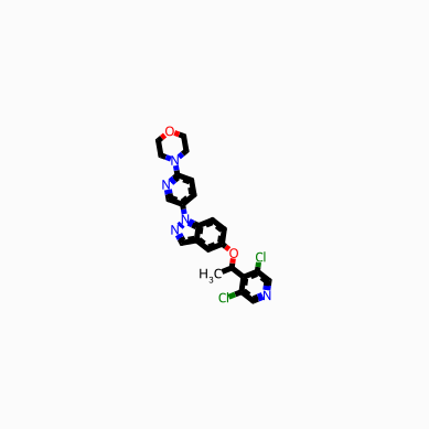 CC(Oc1ccc2c(cnn2-c2ccc(N3CCOCC3)nc2)c1)c1c(Cl)cncc1Cl